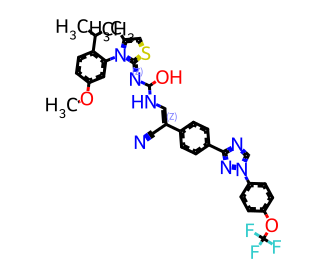 COc1ccc(C(C)C)c(-n2c(C)cs/c2=N\C(O)N/C=C(\C#N)c2ccc(-c3ncn(-c4ccc(OC(F)(F)F)cc4)n3)cc2)c1